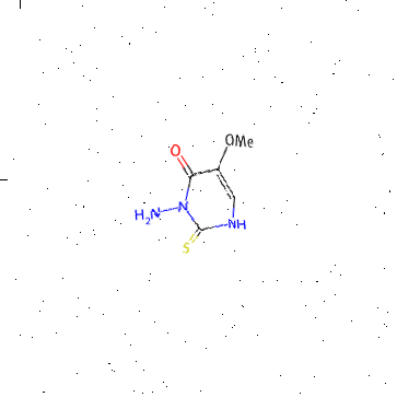 COc1c[nH]c(=S)n(N)c1=O